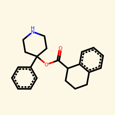 O=C(OC1(c2ccccc2)CCNCC1)C1CCCc2ccccc21